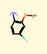 CCCOc1cc(F)ccc1N